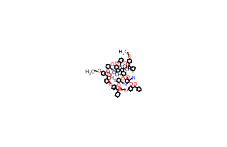 C=CCOc1ccc(C(=O)c2ccccc2)c(Oc2cccc(Oc3cc4c(cc3Oc3cccc(Oc5cc(OCC=C)ccc5C(=O)c5ccccc5)c3C#N)C3(CC4(C)C)CC(C)(C)c4cc(Oc5cccc(Oc6cc(OCC=C)ccc6C(=O)c6ccccc6)c5C#N)c(Oc5cccc(Oc6cc(OCC=C)ccc6C(=O)c6ccccc6)c5C#N)cc43)c2C#N)c1